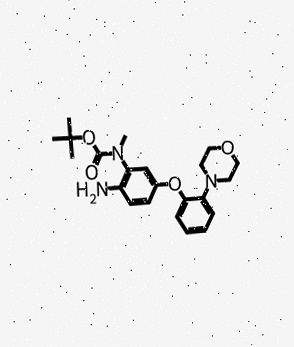 CN(C(=O)OC(C)(C)C)c1cc(Oc2ccccc2N2CCOCC2)ccc1N